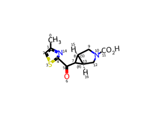 Cc1csc(C(=O)C2[C@H]3CN(C(=O)O)C[C@@H]23)n1